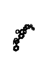 CCC1(CC)CC(=O)c2cc(-c3cc(-c4ccccc4)no3)ccc2O1